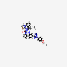 Cc1cccc(N2CCSC2NC(=O)NC2=C(c3ccc(-c4ncn(-c5ccc(OC(F)(F)F)cc5)n4)cc3)CCC2)c1C(C)C